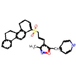 C1=CC=CNC=C1.Cc1noc(C)c1C=CCS(=O)(=O)C1=CCCc2c1ccc1c2CCc2ccccc2-1